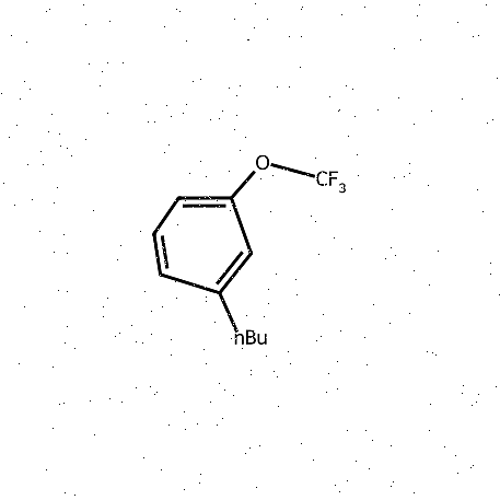 CCCCc1cccc(OC(F)(F)F)c1